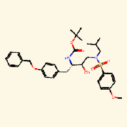 COc1ccc(S(=O)(=O)N(CC(C)C)C[C@@H](O)[C@H](Cc2ccc(OCc3ccccc3)cc2)NC(=O)OC(C)(C)C)cc1